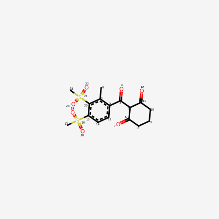 Cc1c(C(=O)C2C(=O)CCCC2=O)ccc(S(C)(=O)=O)c1S(C)(=O)=O